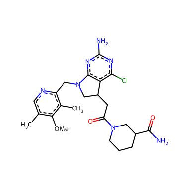 COc1c(C)cnc(CN2CC(CC(=O)N3CCCC(C(N)=O)C3)c3c(Cl)nc(N)nc32)c1C